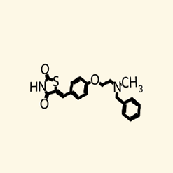 CN(CCOc1ccc(/C=C2\SC(=O)NC2=O)cc1)Cc1ccccc1